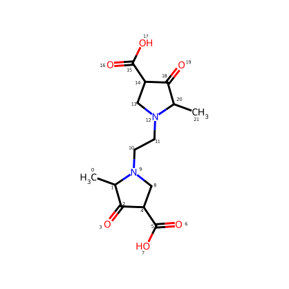 CC1C(=O)C(C(=O)O)CN1CCN1CC(C(=O)O)C(=O)C1C